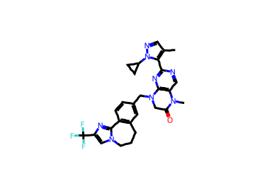 Cc1cnn(C2CC2)c1-c1ncc2c(n1)N(Cc1ccc3c(c1)CCCn1cc(C(F)(F)F)nc1-3)CC(=O)N2C